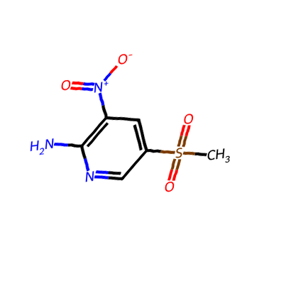 CS(=O)(=O)c1cnc(N)c([N+](=O)[O-])c1